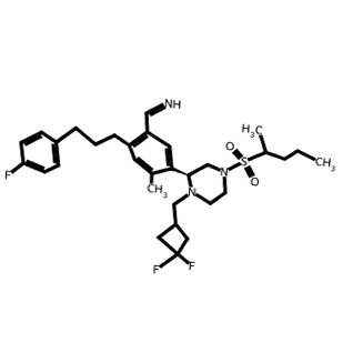 CCCC(C)S(=O)(=O)N1CCN(CC2CC(F)(F)C2)[C@@H](c2cc(C=N)c(CCCc3ccc(F)cc3)cc2C)C1